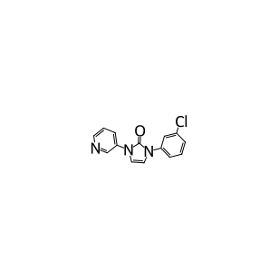 O=c1n(-c2cccnc2)ccn1-c1cccc(Cl)c1